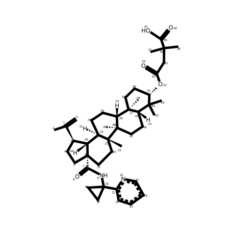 C=C(C)[C@@H]1CC[C@]2(C(=O)NC3(c4ccccn4)CC3)CC[C@]3(C)[C@H](CC[C@@H]4[C@@]5(C)CC[C@H](OC(=O)CC(C)(C)C(=O)O)C(C)(C)[C@@H]5CC[C@]43C)[C@@H]12